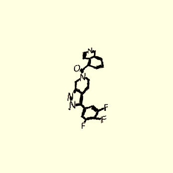 Cn1nc2c(c1-c1cc(F)c(F)c(F)c1)CCN(C(=O)c1cccc3cnccc13)C2